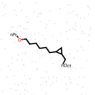 CCCCCCCCCC1CC1CCCCCCOCCC